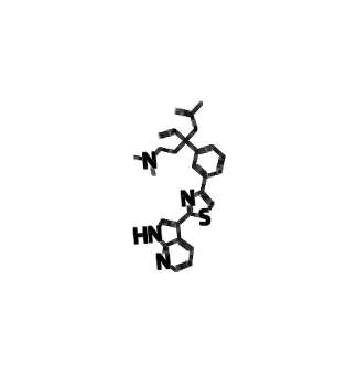 C=CC(CCN(C)C)(CC(=C)C)c1cccc(-c2csc(-c3c[nH]c4ncccc34)n2)c1